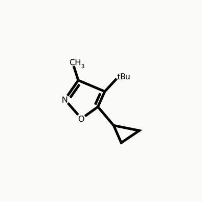 Cc1noc(C2CC2)c1C(C)(C)C